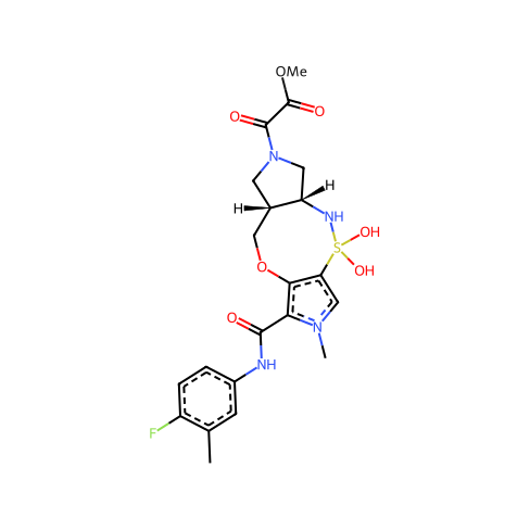 COC(=O)C(=O)N1C[C@H]2COc3c(cn(C)c3C(=O)Nc3ccc(F)c(C)c3)S(O)(O)N[C@H]2C1